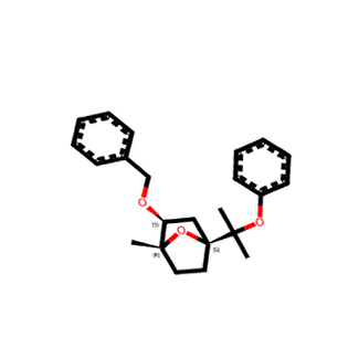 CC(C)(Oc1ccccc1)[C@@]12CC[C@@](C)(O1)[C@@H](OCc1ccccc1)C2